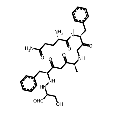 C[C@H](NCC(=O)[C@H](Cc1ccccc1)NC(=O)[C@@H](N)CCC(N)=O)C(=O)CC(=O)[C@H](Cc1ccccc1)NN[C@H](C=O)CO